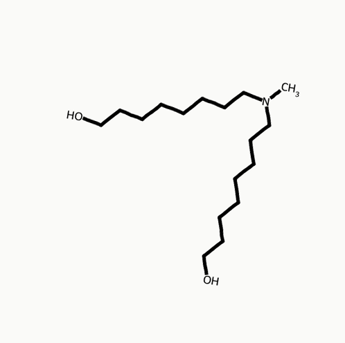 CN(CCCCCCCCO)CCCCCCCCO